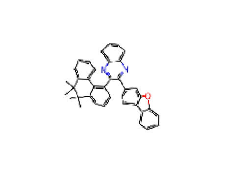 CC1(C)c2ccccc2-c2c(-c3nc4ccccc4nc3-c3ccc4c(c3)oc3ccccc34)cccc2C1(C)C